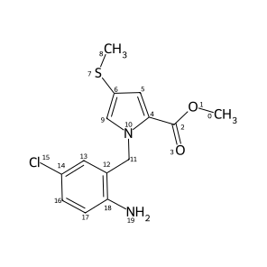 COC(=O)c1cc(SC)cn1Cc1cc(Cl)ccc1N